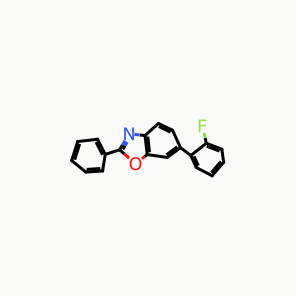 Fc1ccccc1-c1ccc2nc(-c3ccccc3)oc2c1